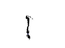 C=Cc1ccc(CCCCCCCCCCOc2ccc(/C=C/C(=O)c3ccc(F)cc3)cc2)cc1